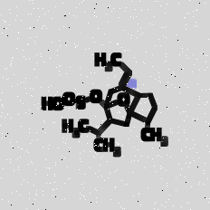 C/C=C1\CC2(OSOO)OC3(CC2C(C)C)C(C)CCC13